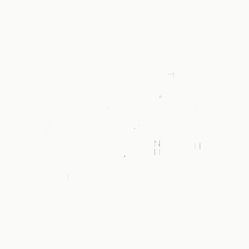 C=C(CCl)CC1(C(=O)O)C[C@H]2C[C@H]2N1